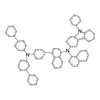 c1ccc(-c2ccc(N(c3ccc(-c4ccc(N(c5ccc6c(c5)c5ccccc5n6-c5ccccc5)c5cccc6ccccc56)c5ccccc45)cc3)c3cccc(-c4ccccc4)c3)cc2)cc1